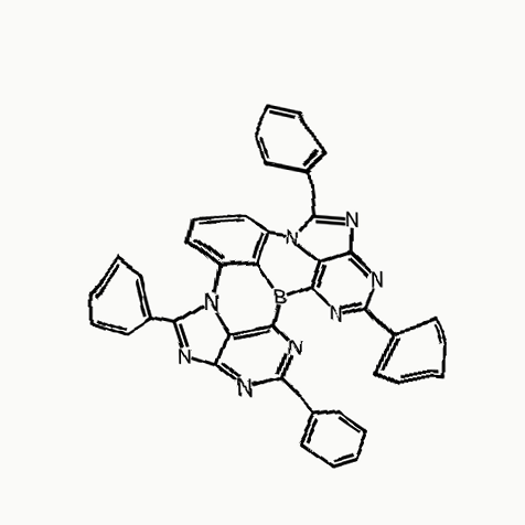 c1ccc(-c2nc3c4c(n2)nc(-c2ccccc2)n4-c2cccc4c2B3c2nc(-c3ccccc3)nc3nc(-c5ccccc5)n-4c23)cc1